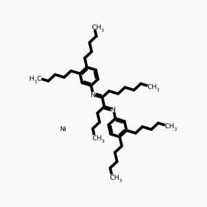 CCCCCCC(=N\c1ccc(CCCCC)c(CCCCC)c1)/C(CCCC)=N/c1ccc(CCCCC)c(CCCCC)c1.[Ni]